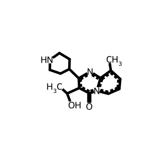 Cc1cccn2c(=O)c(C(C)O)c(C3CCNCC3)nc12